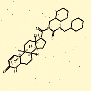 C[C@]12C=CC(=O)NC1CC[C@@H]1[C@H]2CC[C@]2(C)C(C(=O)N(CC3CCCCC3)C(=S)NCC3CCCCC3)CC[C@@H]12